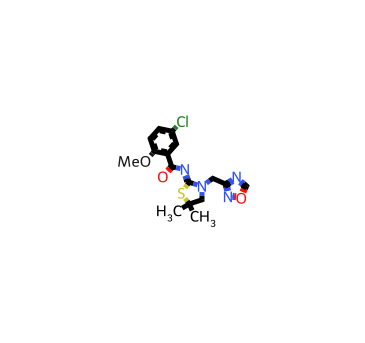 COc1ccc(Cl)cc1C(=O)/N=C1\SC(C)(C)CN1Cc1ncon1